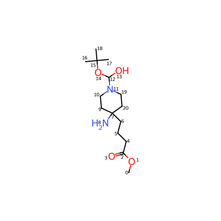 COC(=O)CCCC1(N)CCN(C(O)OC(C)(C)C)CC1